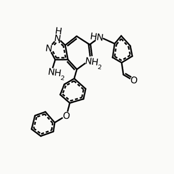 C=C(/C=c1/[nH]nc(N)/c1=C(/N)c1ccc(Oc2ccccc2)cc1)Nc1cccc(C=O)c1